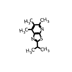 Cc1nc2sc(C(C)C)nc2c(C)c1C